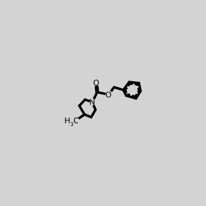 CC1CCN(C(=O)OCc2ccccc2)CC1